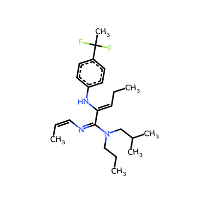 C\C=C/N=C(\C(=C\CC)Nc1ccc(C(C)(F)F)cc1)N(CCC)CC(C)C